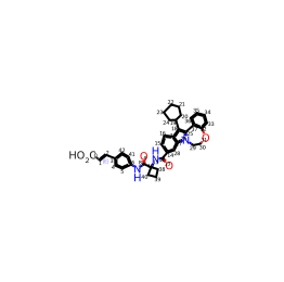 O=C(O)/C=C/c1ccc(NC(=O)C2(NC(=O)c3ccc4c(C5CCCCC5)c5n(c4c3)CCOc3ccccc3-5)CCC2)cc1